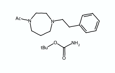 CC(=O)N1CCCN(CCc2ccccc2)CC1.CC(C)(C)OC(N)=O